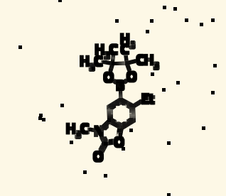 CCc1cc2oc(=O)n(C)c2cc1B1OC(C)(C)C(C)(C)O1